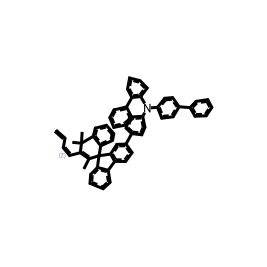 C=C/C=C\C1=C(C)C2(c3ccccc3-c3ccc(-c4ccc(N(c5ccc(-c6ccccc6)cc5)c5ccccc5-c5ccccc5)cc4)cc32)c2ccccc2C1(C)C